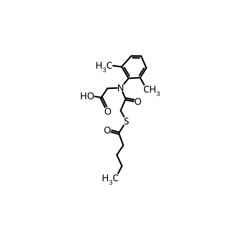 CCCCC(=O)SCC(=O)N(CC(=O)O)c1c(C)cccc1C